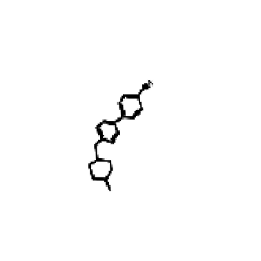 CC1CCC(Cc2ccc(-c3ccc(C#N)cc3)cc2)CC1